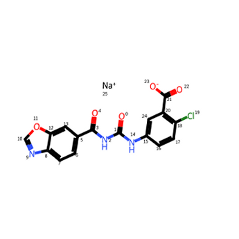 O=C(NC(=O)c1ccc2ncoc2c1)Nc1ccc(Cl)c(C(=O)[O-])c1.[Na+]